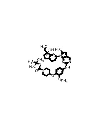 CC[C@@]1(O)CCc2ccc(-n3c(C)cc4cnc(Nc5ccc(OC6CCN(C(=O)OC(C)(C)C)CC6)c(OC)c5)nc43)nc21